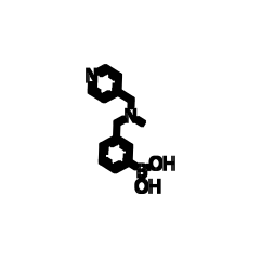 CN(Cc1ccncc1)Cc1cccc(B(O)O)c1